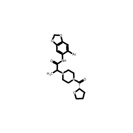 CC(=O)c1cc2c(cc1NC(=O)C(C)N1CCN(C(=O)[C@@H]3CCCO3)CC1)OCO2